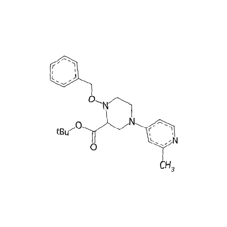 Cc1cc(N2CCN(OCc3ccccc3)C(C(=O)OC(C)(C)C)C2)ccn1